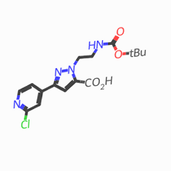 CC(C)(C)OC(=O)NCCn1nc(-c2ccnc(Cl)c2)cc1C(=O)O